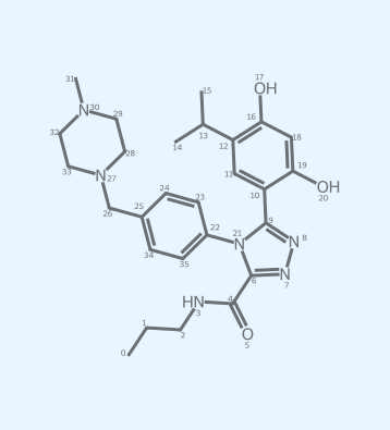 CCCNC(=O)c1nnc(-c2cc(C(C)C)c(O)cc2O)n1-c1ccc(CN2CCN(C)CC2)cc1